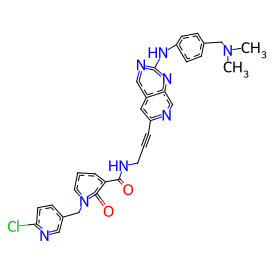 CN(C)Cc1ccc(Nc2ncc3cc(C#CCNC(=O)c4cccn(Cc5ccc(Cl)nc5)c4=O)ncc3n2)cc1